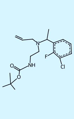 C=CCN(CCNC(=O)OC(C)(C)C)C(C)c1cccc(Cl)c1F